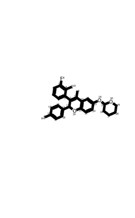 CC1=C(c2cccc(F)c2I)C(c2ccc(I)cc2)Oc2ccc(OC3CCCCO3)cc21